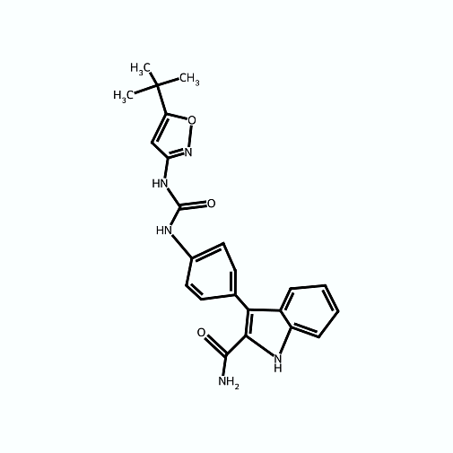 CC(C)(C)c1cc(NC(=O)Nc2ccc(-c3c(C(N)=O)[nH]c4ccccc34)cc2)no1